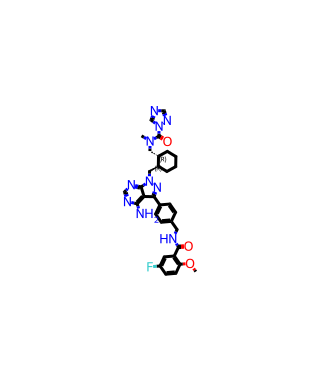 COc1ccc(F)cc1C(=O)NCc1ccc(-c2nn(C[C@@H]3CCCC[C@H]3CN(C)C(=O)n3cncn3)c3ncnc(N)c23)cc1